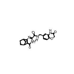 O=C1COc2ccc(CNC(=O)c3nc4c(c(=O)[nH]3)C3CCC4C3)cc2N1